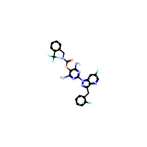 Nc1nc(-n2nc(Cc3ccccc3F)c3ncc(F)cc32)nc(N)c1OC(=O)NCc1ccccc1C(F)(F)F